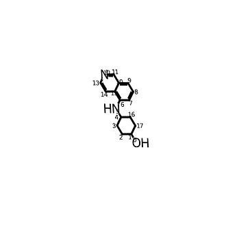 OC1CCC(Nc2cccc3cnccc23)CC1